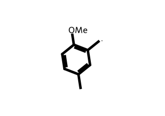 [CH2]c1cc(C)ccc1OC